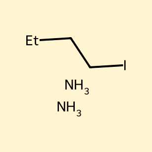 CCCCI.N.N